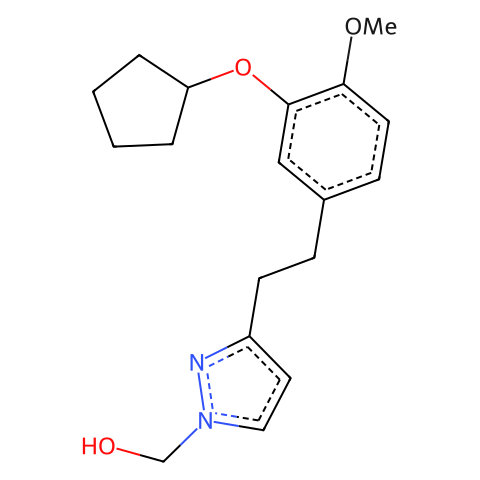 COc1ccc(CCc2ccn(CO)n2)cc1OC1CCCC1